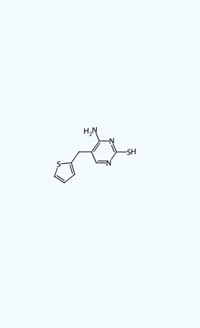 Nc1nc(S)ncc1Cc1cccs1